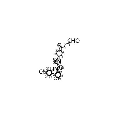 O=CCCCC(=O)N1CCC(c2nc(C(=O)Nc3ccccc3-c3ccc(Cl)cc3)cs2)CC1